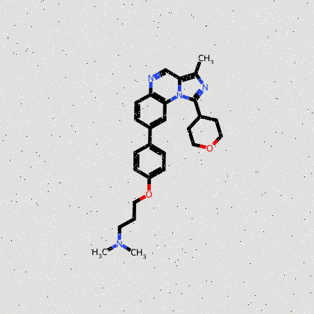 Cc1nc(C2CCOCC2)n2c1cnc1ccc(-c3ccc(OCCCN(C)C)cc3)cc12